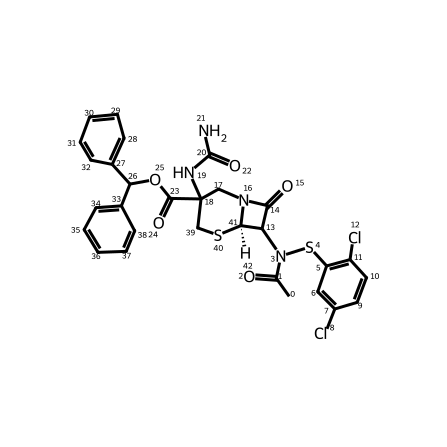 CC(=O)N(Sc1cc(Cl)ccc1Cl)C1C(=O)N2CC(NC(N)=O)(C(=O)OC(c3ccccc3)c3ccccc3)CS[C@H]12